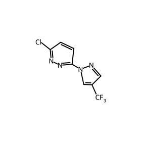 FC(F)(F)c1cnn(-c2ccc(Cl)nn2)c1